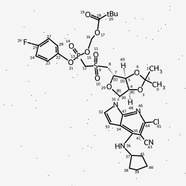 CC1(C)O[C@@H]2[C@H](O1)[C@@H](CS(=O)(=O)CP(=O)(OCOC(=O)C(C)(C)C)Oc1ccc(F)cc1)O[C@H]2n1ccc2c(NC3CCCC3)c(C#N)c(Cl)nc21